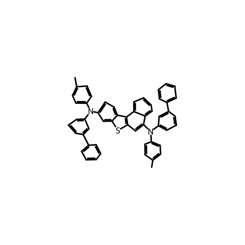 Cc1ccc(N(c2cccc(-c3ccccc3)c2)c2ccc3c(c2)sc2cc(N(c4ccc(C)cc4)c4cccc(-c5ccccc5)c4)c4ccccc4c23)cc1